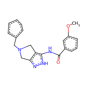 COc1cccc(C(=O)Nc2[nH]nc3c2CN(Cc2ccccc2)C3)c1